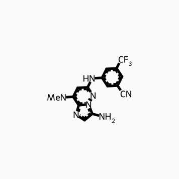 CNc1cc(Nc2cc(C#N)cc(C(F)(F)F)c2)nn2c(N)cnc12